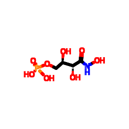 O=C(NO)[C@H](O)[C@H](O)COP(=O)(O)O